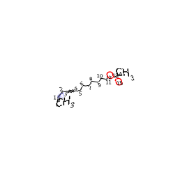 C/C=C\C#CCCCCCCCOC(C)=O